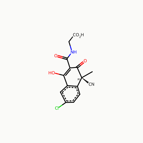 C[C@@]1(C#N)C(=O)C(C(=O)NCC(=O)O)=C(O)c2cc(Cl)ccc21